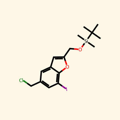 CC(C)(C)[Si](C)(C)OCc1cc2cc(CCl)cc(I)c2o1